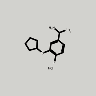 CC(N)c1ccc(F)c(OC2CCCC2)c1.Cl